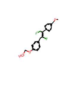 COc1ccc(/C(F)=C(\F)c2ccc(OCO)cc2)cc1